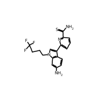 NC(=S)c1cccc(-c2cn(CCCC(F)(F)F)c3cc(N)ccc23)n1